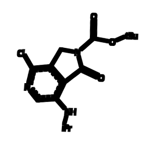 CC(C)Nc1cnc(Cl)c2c1C(=O)N(C(=O)OC(C)(C)C)C2